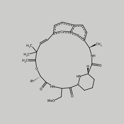 C=C1O[C@@H](C(C)C)C(=O)NC(COC)C(=O)N2CCC[C@H](N2)C(=O)N[C@H](C)c2ccc3ccc(cc3n2)/C=C/C1(C)C